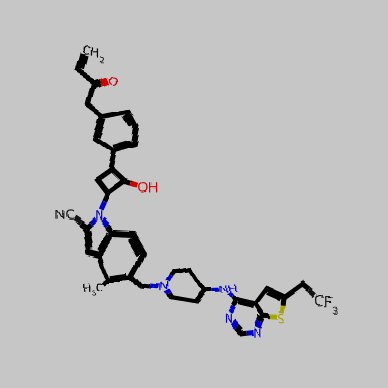 C=CC(=O)Cc1cccc(C2CC(n3c(C#N)cc4c(C)c(CN5CCC(Nc6ncnc7sc(CC(F)(F)F)cc67)CC5)ccc43)C2O)c1